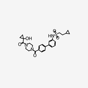 O=C(c1ccc(-c2cccc(NS(=O)(=O)CCC3CC3)c2)cc1)N1CCN(C(=O)C2(O)CC2)CC1